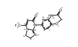 O=C1COc2ccc(N3C(=O)C=C(C(F)(F)F)N4CCN=C43)nc2N1